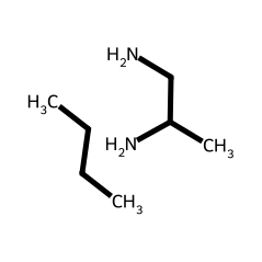 CC(N)CN.CCCC